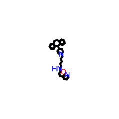 O=C(/C=C\c1cccnc1)NCCCCCN1CCC(C2c3ccccc3CCc3ccccc32)CC1